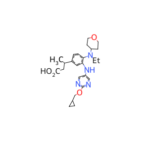 CCN(c1ccc(C(C)CC(=O)O)cc1Nc1cnc(OCC2CC2)nc1)C1CCOCC1